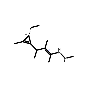 CC[C@H]1C(C)=C1C(C)/C(C)=C(\C)NNC